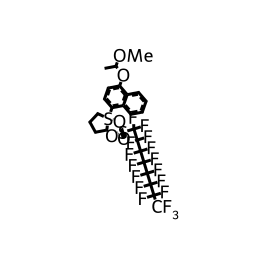 COC(C)Oc1ccc(S2(OS(=O)(=O)C(F)(F)C(F)(F)C(F)(F)C(F)(F)C(F)(F)C(F)(F)C(F)(F)C(F)(F)F)CCCC2)c2ccccc12